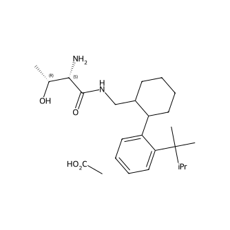 CC(=O)O.CC(C)C(C)(C)c1ccccc1C1CCCCC1CNC(=O)[C@@H](N)[C@@H](C)O